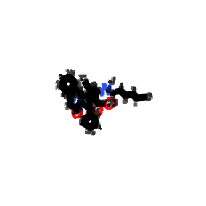 CCCCCCN(C)c1cc(C)c(Nc2ccccc2)c2c1C(=O)OC21c2ccccc2Oc2ccccc21